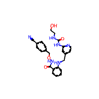 N#Cc1ccc(CONC(=O)c2ccccc2NCc2ccnc(NC(=O)NCCO)c2)cc1